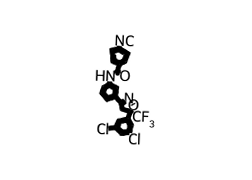 [C-]#[N+]c1ccc(C(=O)Nc2cccc(C3=NOC(c4cc(Cl)cc(Cl)c4)(C(F)(F)F)C3)c2)cc1